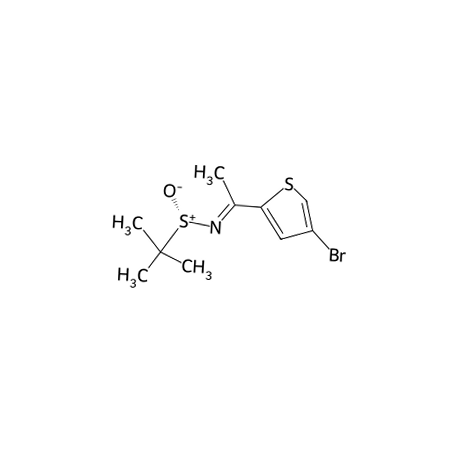 CC(=N[S@@+]([O-])C(C)(C)C)c1cc(Br)cs1